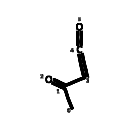 CC(=O)[C]=C=O